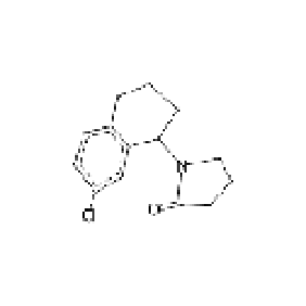 O=C1CCCN1C1CCCc2ccc(Cl)cc21